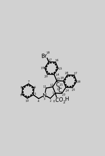 O=C(O)C12CN(Cc3ccccc3)CC1C1(c3ccc(Br)cc3)CCC2c2ccccc21